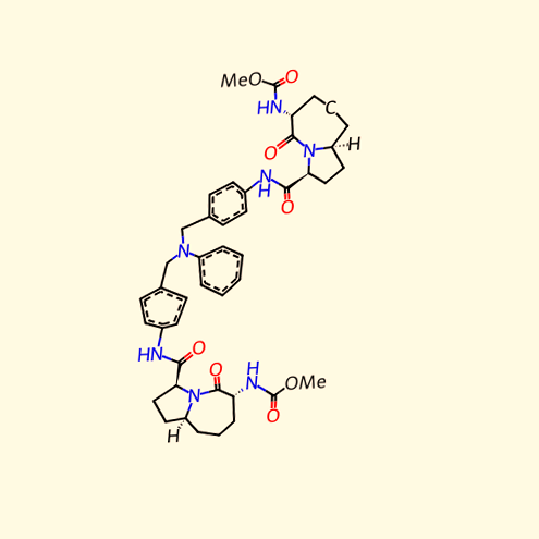 COC(=O)N[C@@H]1CCC[C@H]2CC[C@@H](C(=O)Nc3ccc(CN(Cc4ccc(NC(=O)[C@@H]5CC[C@@H]6CCC[C@@H](NC(=O)OC)C(=O)N65)cc4)c4ccccc4)cc3)N2C1=O